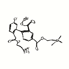 CC(C)(C)OC(=O)c1cc(C(=O)OCC[Si](C)(C)C)ccc1-c1cc(Cl)ccc1C(=O)OCC(Cl)(Cl)Cl